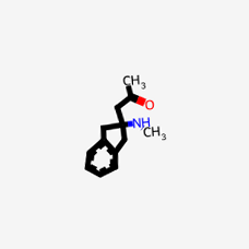 CNC1(CC(C)=O)Cc2ccccc2C1